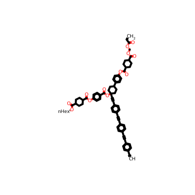 C#Cc1ccc(C#Cc2ccc(C#Cc3ccc(C#CC4(OC(=O)c5ccc(OC(=O)C6CCC(C(=O)OCCCCCC)CC6)cc5)CCC(c5ccc(OC(=O)C6CCC(C(=O)OCOC(=O)C=C)CC6)cc5)CC4)cc3)cc2)cc1